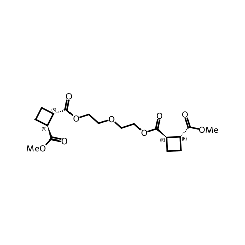 COC(=O)[C@H]1CC[C@@H]1C(=O)OCCOCCOC(=O)[C@@H]1CC[C@H]1C(=O)OC